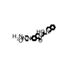 NC(=O)N1CCN(c2ccc3c(c2)CCN(CC(O)CN2CCc4ccccc4C2)C3=O)CC1